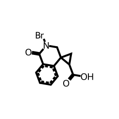 O=C(O)C1CC12CN(Br)C(=O)c1ccccc12